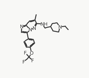 CCN1CCC(CNc2nn3c(-c4ccc(OC(F)(F)F)cc4)cnc3cc2C)CC1